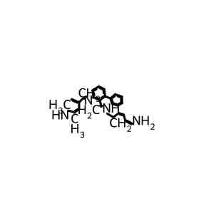 C=C(/C=C\C=C/N)CNC(=C)c1c(/N=C(C)/C(/C=C(/C)C=N)=C/C)cccc1-c1ccccc1